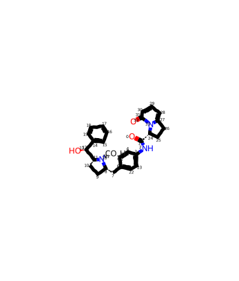 O=C(Nc1ccc(C[C@@H]2CC[C@H]([C@H](O)c3ccccc3)N2C(=O)O)cc1)[C@H]1CCc2cccc(=O)n21